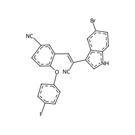 N#CC(=Cc1cc(C#N)ccc1Oc1ccc(F)cc1)c1c[nH]c2ccc(Br)cc12